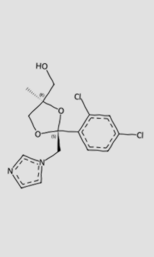 C[C@@]1(CO)CO[C@@](Cn2ccnc2)(c2ccc(Cl)cc2Cl)O1